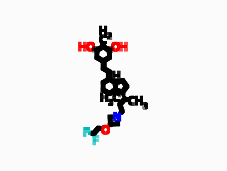 C=C1[C@H](O)CC(=CC=C2CCC[C@]3(C)[C@@H](C(C)CCN4CC(OCC(F)F)C4)CC[C@@H]23)C[C@H]1O